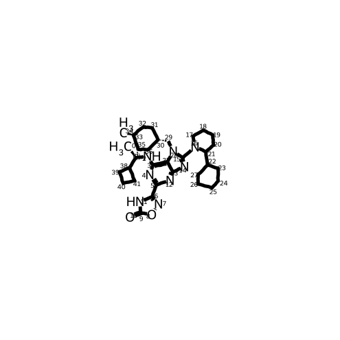 C[C@@H](Nc1nc(-c2noc(=O)[nH]2)nc2nc(N3CCCCC3C3CCCCC3)n(C[C@H]3CC[C@H](C)CC3)c12)C1CCC1